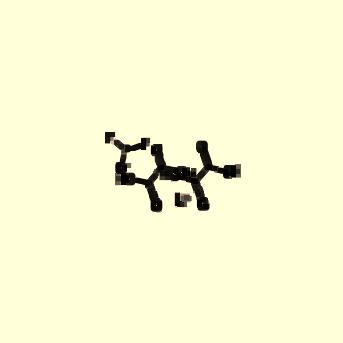 O=C(O)C(=O)O.O=C(O)C(=O)O.[Li+].[O-]P(F)F